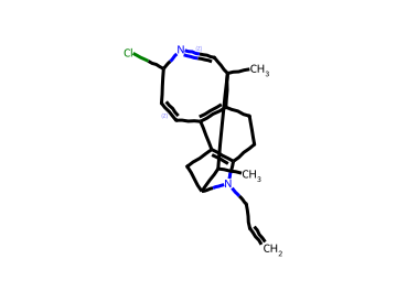 C=CCN1C2=C3CC1C(C)C1(C)/C=N\C(Cl)/C=C\C3=C1CC2